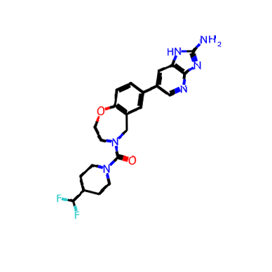 Nc1nc2ncc(-c3ccc4c(c3)CN(C(=O)N3CCC(C(F)F)CC3)CCO4)cc2[nH]1